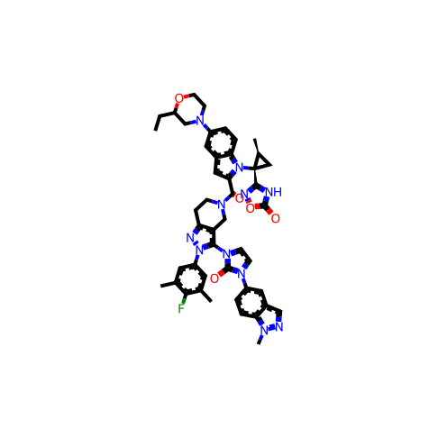 CCC1CN(c2ccc3c(c2)cc(C(=O)N2CCc4nn(-c5cc(C)c(F)c(C)c5)c(-n5ccn(-c6ccc7c(cnn7C)c6)c5=O)c4C2)n3[C@@]2(c3noc(=O)[nH]3)C[C@@H]2C)CCO1